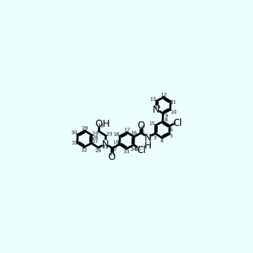 O=C(Nc1ccc(Cl)c(-c2ccccn2)c1)c1ccc(C(=O)N(CCO)Cc2ccccc2)cc1Cl